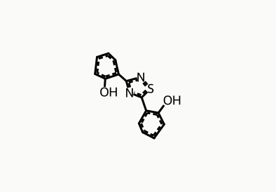 Oc1ccccc1-c1nsc(-c2ccccc2O)n1